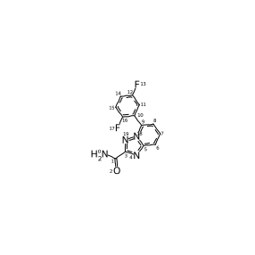 NC(=O)c1nc2cccc(-c3cc(F)ccc3F)n2n1